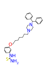 NC(=S)Nc1cccc(OCCCCCCCN2CCN(C(c3ccccc3)c3ccccc3)CC2)c1